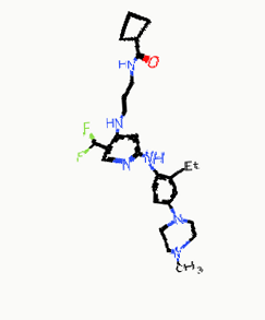 CCc1cc(N2CCN(C)CC2)ccc1Nc1cc(NCCCNC(=O)C2CCC2)c(C(F)F)cn1